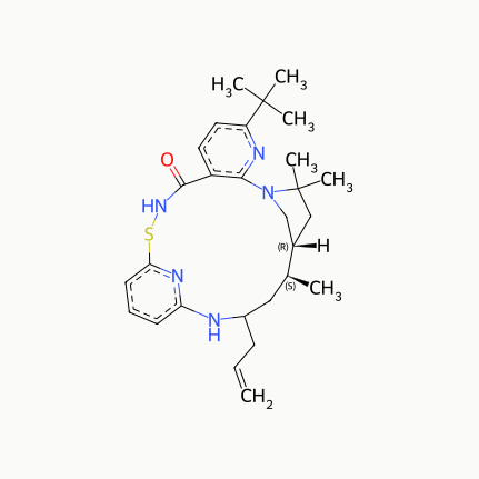 C=CCC1C[C@H](C)[C@@H]2CN(c3nc(C(C)(C)C)ccc3C(=O)NSc3cccc(n3)N1)C(C)(C)C2